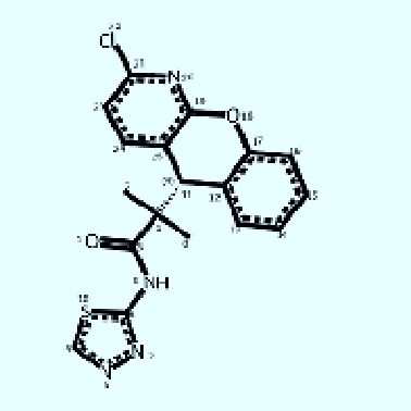 CC(C)(C(=O)Nc1nncs1)[C@H]1c2ccccc2Oc2nc(Cl)ccc21